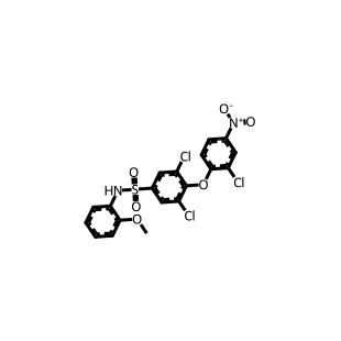 COc1ccccc1NS(=O)(=O)c1cc(Cl)c(Oc2ccc([N+](=O)[O-])cc2Cl)c(Cl)c1